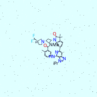 CNC(=O)c1cc(Nc2nc(-c3ccc4c(c3)N([C@H]3C[C@@H](N5CC[C@@H](C(F)F)C5)C3)C(=O)C4(C)C)cc3ncn(C(C)C)c23)ccc1C